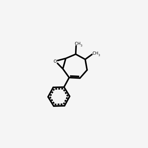 CC1CC=C(c2ccccc2)C2OC2C1C